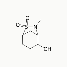 CN1C2CC(CCC2O)S1(=O)=O